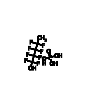 CC(F)(F)C(F)(F)C(F)(F)C(O)(F)F.O=P(O)(O)O